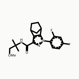 COCC(C)(C)NC(=O)c1nn(-c2ccc(F)cc2F)c2c1C1CCC2C1